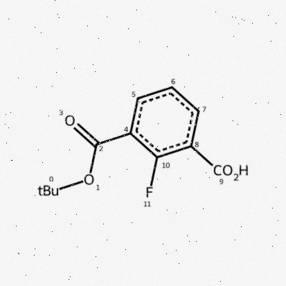 CC(C)(C)OC(=O)c1cc[c]c(C(=O)O)c1F